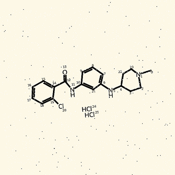 CN1CCC(Nc2cccc(NC(=O)c3ccccc3Cl)c2)CC1.Cl.Cl